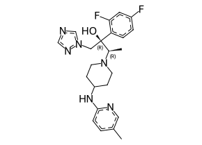 Cc1ccc(NC2CCN([C@H](C)[C@](O)(Cn3cncn3)c3ccc(F)cc3F)CC2)nc1